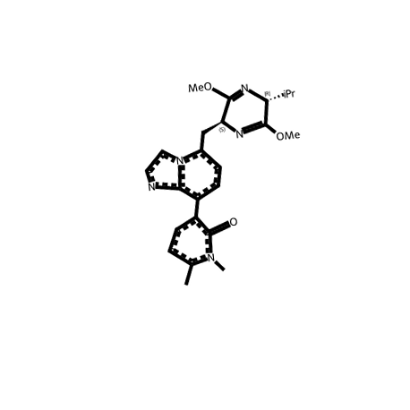 COC1=N[C@H](C(C)C)C(OC)=N[C@H]1Cc1ccc(-c2ccc(C)n(C)c2=O)c2nccn12